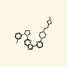 Fc1cccc([C@H]2CCCN2c2ccc3ncc(-c4cccc(N5CCN(CCC6CNC6)CC5)n4)n3n2)c1